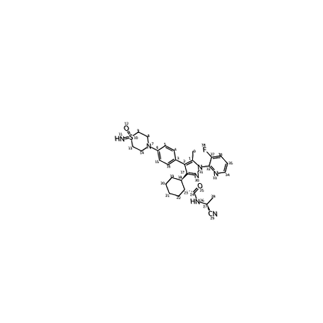 Cc1c(-c2ccc(N3CCS(=N)(=O)CC3)cc2)c([C@@H]2CCCC[C@H]2C(=O)N[C@@H](C)C#N)nn1-c1ncccc1F